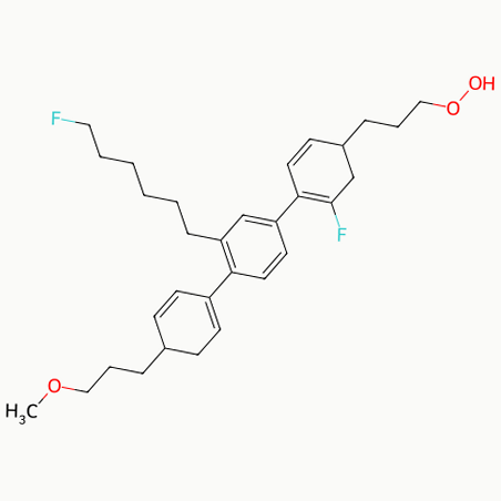 COCCCC1C=CC(c2ccc(C3=C(F)CC(CCCOO)C=C3)cc2CCCCCCF)=CC1